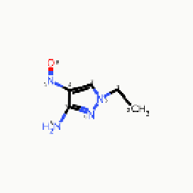 CCn1cc(N=O)c(N)n1